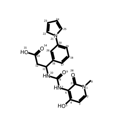 Cn1ccc(O)c(NC(=O)NC(CC(=O)O)c2cccc(-n3cccc3)c2)c1=O